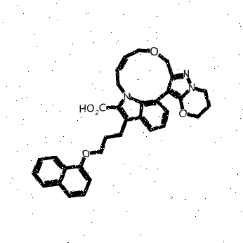 O=C(O)c1c(CCCOc2cccc3ccccc23)c2cccc3c2n1C/C=C\COCc1nn2c(c1-3)OCCC2